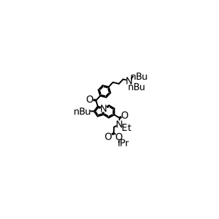 CCCCc1cc2cc(C(=O)N(CC)CC(=O)OC(C)C)ccn2c1C(=O)c1ccc(CCCN(CCCC)CCCC)cc1